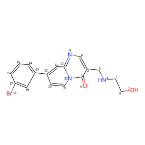 O=c1c(CNCCO)cnc2cc(-c3cccc(Br)c3)ccn12